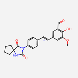 COc1cc(/C=C/c2ccc(N3C(=O)NC4(CCCC4)C3=O)cc2)cc(C=O)c1O